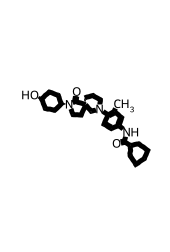 Cc1cc(NC(=O)C2CCCCC2)ccc1N1CCC[C@@]2(CCN([C@H]3CC[C@H](O)CC3)C2=O)C1